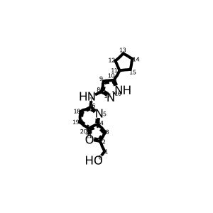 OCc1cc2nc(Nc3cc(C4CCCC4)[nH]n3)ccc2o1